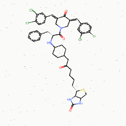 O=C(CCCC[C@@H]1SCC2NC(=O)NC21)CC1CCC(N[C@H](Cc2ccccc2)C(=O)N2C/C(=C\c3ccc(Cl)c(Cl)c3)C(=O)/C(=C/c3ccc(Cl)c(Cl)c3)C2)CC1